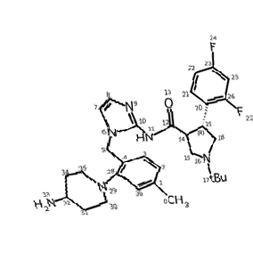 Cc1ccc(Cn2ccnc2NC(=O)C2CN(C(C)(C)C)C[C@H]2c2ccc(F)cc2F)c(N2CCC(N)CC2)c1